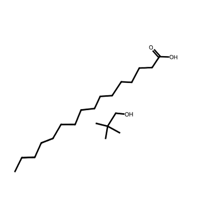 CC(C)(C)CO.CCCCCCCCCCCCCCCC(=O)O